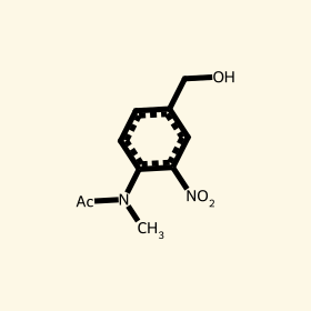 CC(=O)N(C)c1ccc(CO)cc1[N+](=O)[O-]